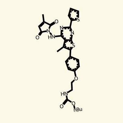 CCCCOC(=O)NCCOc1ccc(-c2sc3nc(-c4cccs4)nc(NN4C(=O)C=C(C)C4=O)c3c2C)cc1